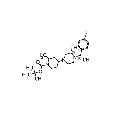 CC1CC(N2CCN([C@@H](C)c3ccc(Br)cc3)[C@H](C)C2)CCN1C(=O)OC(C)(C)C